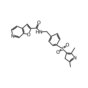 CC1=NC(C)=C(S(=O)(=O)c2ccc(CNC(=O)c3cc4ccncc4o3)cc2)C1